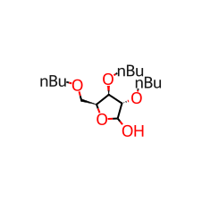 CCCCOC[C@@H]1OC(O)[C@@H](OCCCC)[C@@H]1OCCCC